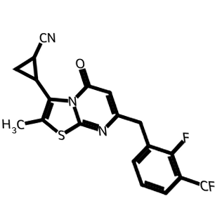 Cc1sc2nc(Cc3cccc(C(F)(F)F)c3F)cc(=O)n2c1C1CC1C#N